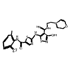 Cc1cccc(Cl)c1NC(=O)c1cnc(Nc2snc(O)c2C(=N)NCCN2CCOCC2)s1